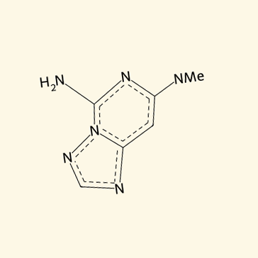 CNc1cc2ncnn2c(N)n1